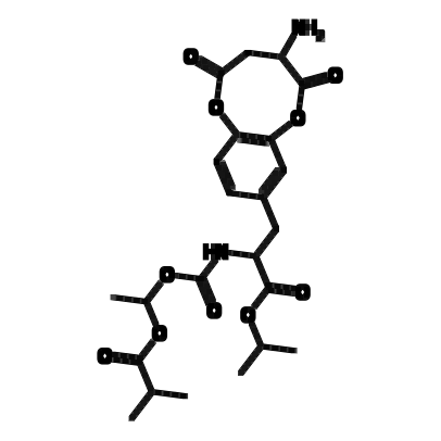 CC(C)OC(=O)C(Cc1ccc2c(c1)OC(=O)C(N)CC(=O)O2)NC(=O)OC(C)OC(=O)C(C)C